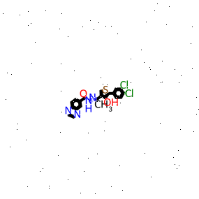 C/C(=N\NC(=O)c1ccc2nccnc2c1)c1csc(-c2ccc(Cl)c(Cl)c2)c1O